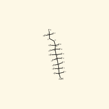 OC(F)(F)C(F)(F)C(F)(F)C(F)(F)C(F)(F)C(F)(F)C(F)(F)CCC(F)(F)F